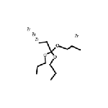 [CH2]CC(OCCC)(OCCC)OCCC.[Zr].[Zr].[Zr].[Zr]